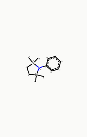 C[Si]1(C)CC[Si](C)(C)N1c1ccccc1